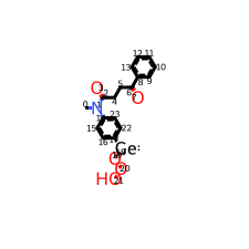 CN(C(=O)CCC(=O)c1ccccc1)c1cc[c]([Ge][O]OO)cc1